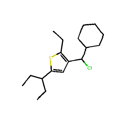 CCc1sc(C(CC)CC)cc1C(Cl)C1CCCCC1